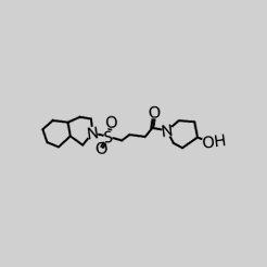 O=C(CCCS(=O)(=O)N1CCC2CCCCC2C1)N1CCC(O)CC1